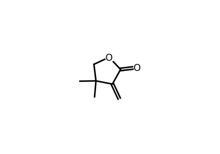 C=C1C(=O)OCC1(C)C